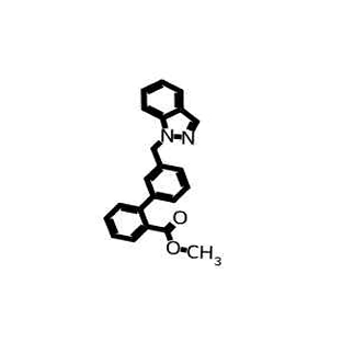 COC(=O)c1ccccc1-c1cccc(Cn2ncc3ccccc32)c1